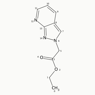 CCOC(=O)Cn1cc2cccnc2n1